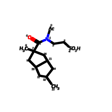 CC(=O)N(CCS(=O)(=O)O)C(=O)C1(C)CC2CC(C)CC2C1